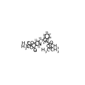 CC(C)(C)OC(=O)n1cc(Cc2cc3c(cn2)C(=O)OC(C)(C)O3)c2ccccc21